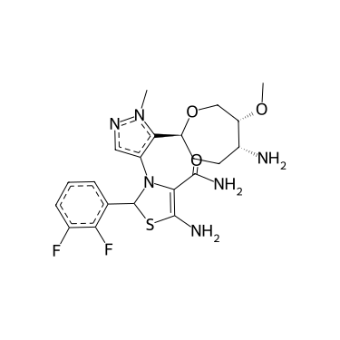 CO[C@H]1CO[C@H](c2c(N3C(C(N)=O)=C(N)SC3c3cccc(F)c3F)cnn2C)CC[C@H]1N